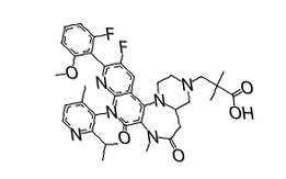 COc1cccc(F)c1-c1nc2c(cc1F)c1c(c(=O)n2-c2c(C)ccnc2C(C)C)N(C)C(=O)CC2CN(CC(C)(C)C(=O)O)CCN12